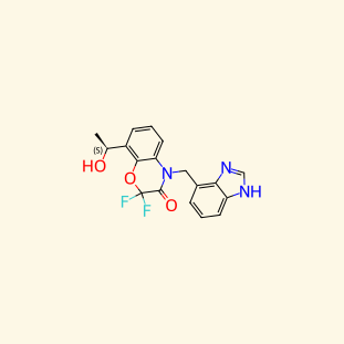 C[C@H](O)c1cccc2c1OC(F)(F)C(=O)N2Cc1cccc2[nH]cnc12